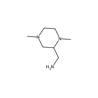 CN1CCN(C)C(CN)C1